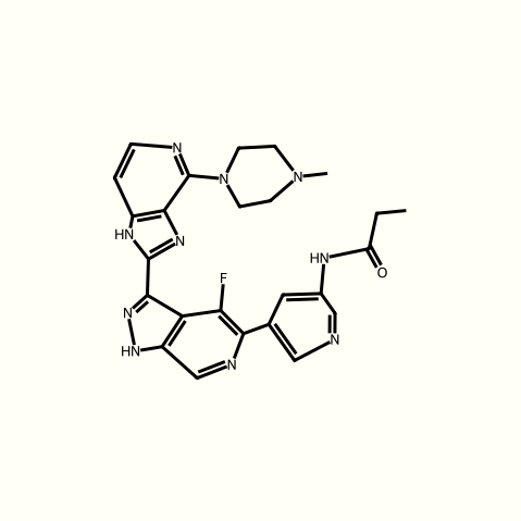 CCC(=O)Nc1cncc(-c2ncc3[nH]nc(-c4nc5c(N6CCN(C)CC6)nccc5[nH]4)c3c2F)c1